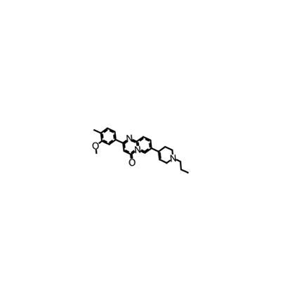 CCCN1CC=C(c2ccc3nc(-c4ccc(C)c(OC)c4)cc(=O)n3c2)CC1